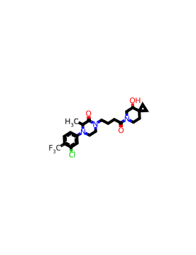 CC1C(=O)N(CCCC(=O)N2CCC3(CC3)C(O)C2)CCN1c1ccc(C(F)(F)F)c(Cl)c1